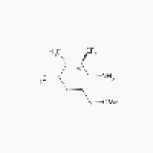 CONCCN(C)C(C)[C@H](CN)C(F)(F)F